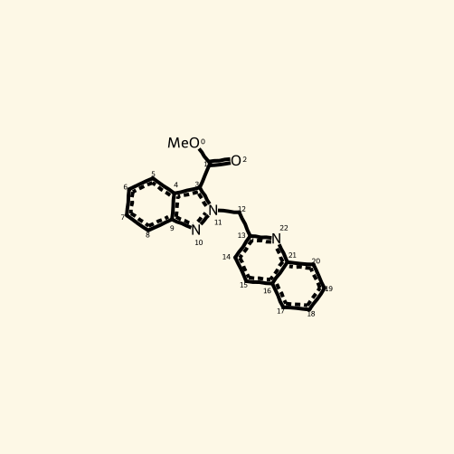 COC(=O)c1c2ccccc2nn1Cc1ccc2ccccc2n1